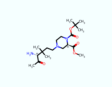 COC(=O)[C@H]1CN(CCC(C)(C)[C@@H](N)C(C)=O)CCN1C(=O)OC(C)(C)C